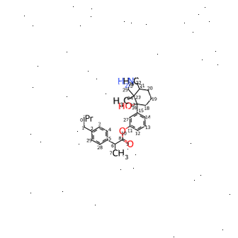 CC(C)Cc1ccc(C(C)C(=O)Oc2cccc(C3(O)CCCC(C)C3(C)CN)c2)cc1